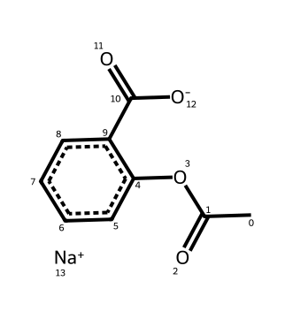 CC(=O)Oc1ccccc1C(=O)[O-].[Na+]